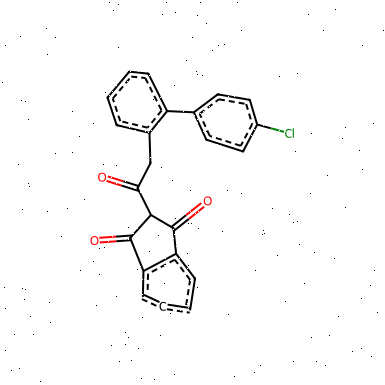 O=C(Cc1ccccc1-c1ccc(Cl)cc1)C1C(=O)c2ccccc2C1=O